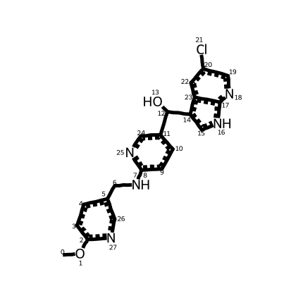 COc1ccc(CNc2ccc(C(O)c3c[nH]c4ncc(Cl)cc34)cn2)cn1